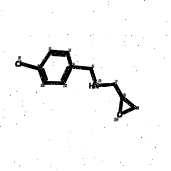 Clc1ccc(CNCC2CO2)cc1